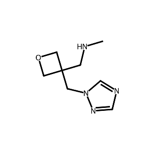 CNCC1(Cn2cncn2)COC1